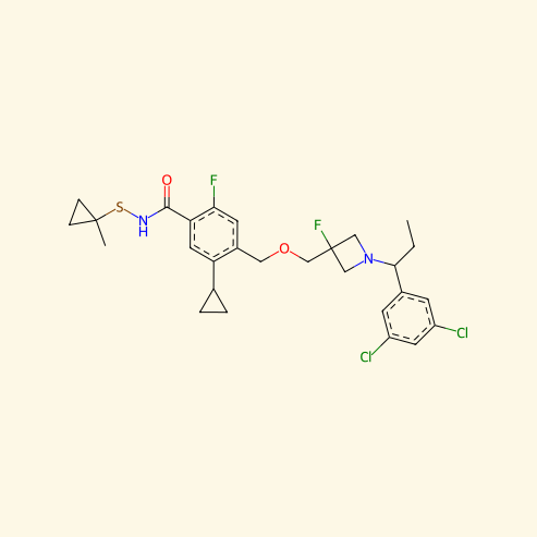 CCC(c1cc(Cl)cc(Cl)c1)N1CC(F)(COCc2cc(F)c(C(=O)NSC3(C)CC3)cc2C2CC2)C1